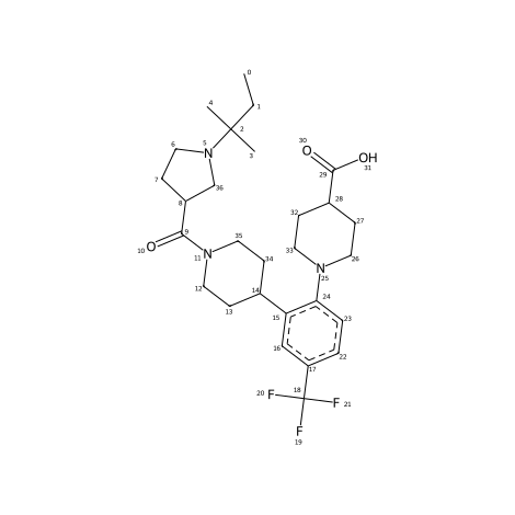 CCC(C)(C)N1CCC(C(=O)N2CCC(c3cc(C(F)(F)F)ccc3N3CCC(C(=O)O)CC3)CC2)C1